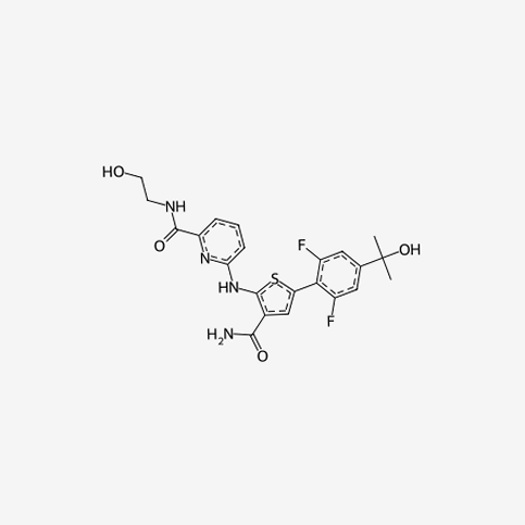 CC(C)(O)c1cc(F)c(-c2cc(C(N)=O)c(Nc3cccc(C(=O)NCCO)n3)s2)c(F)c1